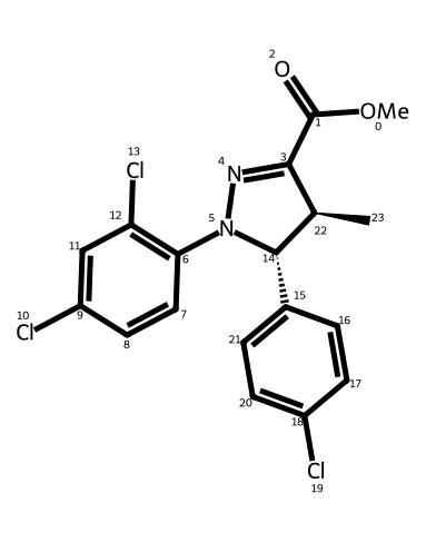 COC(=O)C1=NN(c2ccc(Cl)cc2Cl)[C@@H](c2ccc(Cl)cc2)[C@@H]1C